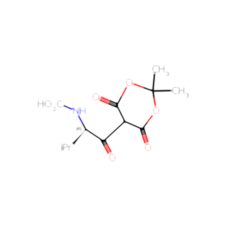 CC(C)[C@@H](NC(=O)O)C(=O)C1C(=O)OC(C)(C)OC1=O